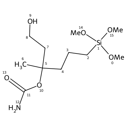 CO[Si](CCCC(C)(CCO)OC(N)=O)(OC)OC